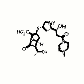 C[C@@H](O)[C@H]1C(=O)N2C(C(=O)O)=C(S[C@@H]3CN[C@H]([C@H](O)CC(=O)N4CCN(C)CC4)C3)C[C@@H]12